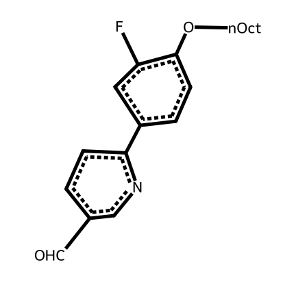 CCCCCCCCOc1ccc(-c2ccc(C=O)cn2)cc1F